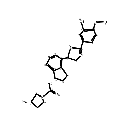 CC(C)Oc1ccc(C2=NCC(c3cccc4c3CC[C@@H]4NC(=O)N3CC[C@H](O)C3)S2)cc1C#N